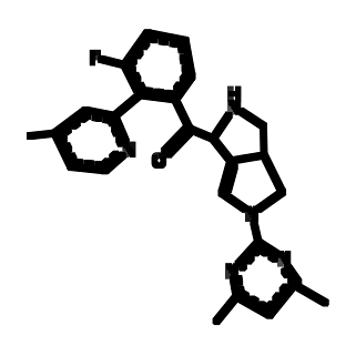 Cc1ccnc(-c2c(F)cccc2C(=O)C2NCC3CN(c4nc(C)cc(C)n4)C=C32)c1